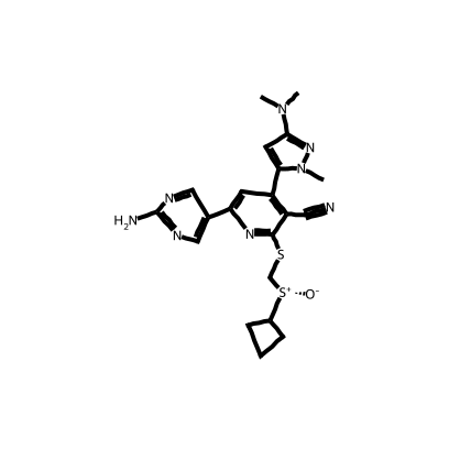 CN(C)c1cc(-c2cc(-c3cnc(N)nc3)nc(SC[S@+]([O-])C3CCC3)c2C#N)n(C)n1